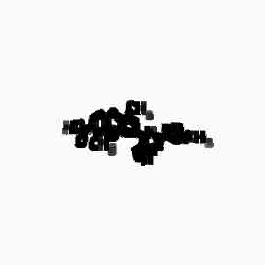 Cc1cc(-c2nc(-c3cnn(C)c3)cn3nccc23)ccc1CN1CCN(C(=O)O)C(C)C1=O